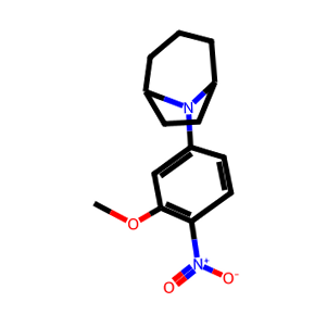 COc1cc(N2C3CCCC2CC3)ccc1[N+](=O)[O-]